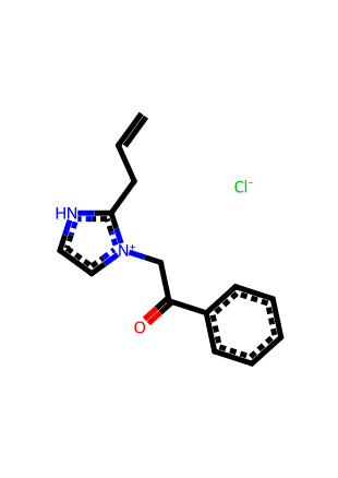 C=CCc1[nH]cc[n+]1CC(=O)c1ccccc1.[Cl-]